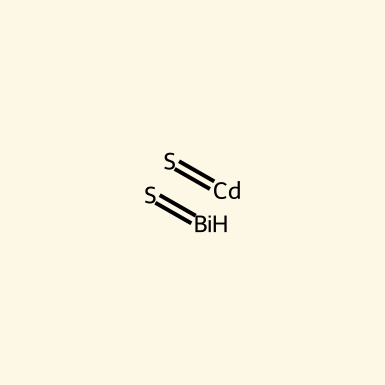 [S]=[BiH].[S]=[Cd]